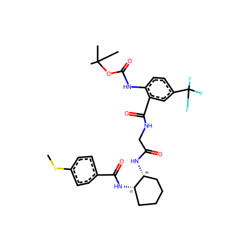 CSc1ccc(C(=O)N[C@H]2CCCC[C@H]2NC(=O)CNC(=O)c2cc(C(F)(F)F)ccc2NC(=O)OC(C)(C)C)cc1